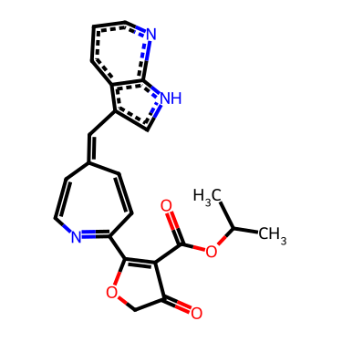 CC(C)OC(=O)C1=C(C2=NC=CC(=Cc3c[nH]c4ncccc34)C=C2)OCC1=O